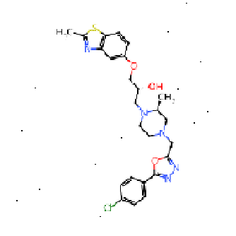 Cc1nc2cc(OC[C@H](O)CN3CCN(Cc4nnc(-c5ccc(Cl)cc5)o4)C[C@@H]3C)ccc2s1